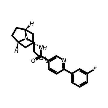 CCCN1[C@@H]2CC[C@H]1C[C@@H](NC(=O)c1ccc(-c3cccc(F)c3)nc1)C2